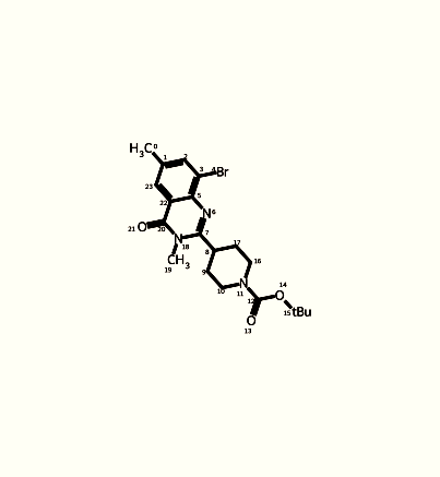 Cc1cc(Br)c2nc(C3CCN(C(=O)OC(C)(C)C)CC3)n(C)c(=O)c2c1